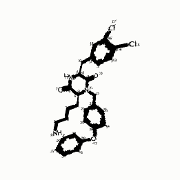 NCCCC[C@H]1C(=O)N[C@@H](Cc2ccc(Cl)c(Cl)c2)C(=O)N1Cc1ccc(Oc2ccccc2)cc1